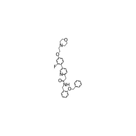 O=C(Cc1ccc(-c2ccc(OCCN3CCOCC3)cc2F)cn1)NCc1ccccc1OCc1ccccc1